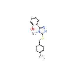 CCn1c(SCc2ccc(C(F)(F)F)cc2)nnc1-c1ccccc1O